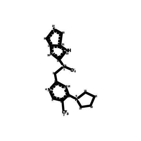 [O-][S+](Cc1ncc(C(F)(F)F)c(N2CCCC2)n1)c1nc2cscc2[nH]1